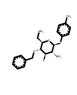 Cc1ccc(S[C@@H]2O[C@H](CN)[C@@H](OCc3ccccc3)[C@H](F)[C@H]2N)cc1